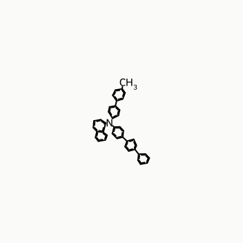 Cc1ccc(-c2ccc(N(c3ccc(-c4ccc(-c5ccccc5)cc4)cc3)c3cccc4ccccc34)cc2)cc1